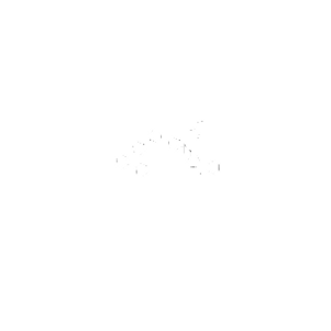 C=Cc1ccc2c(c1)c1cc(-c3cccc(-c4ccc5c6ccccc6c6ccccc6c5c4)c3)ccc1n2-c1ccc2c(c1)-c1ccccc1C2(C)C